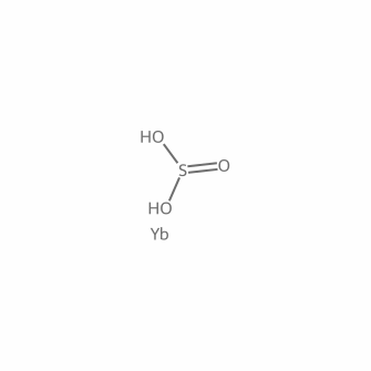 O=S(O)O.[Yb]